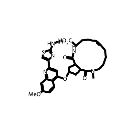 COc1ccc2c(OC3CC4C(=O)NC(C(=O)O)CCC=CCCCCN(C)C(=O)C4C3)cc(-c3csc(NC(C)C)n3)nc2c1